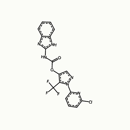 O=C(Nc1nc2ccccc2[nH]1)Oc1cnn(-c2cccc(Cl)n2)c1C(F)(F)F